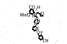 COc1cc(C(=O)O)cc2c1nc(CN1CCN(c3cccc(OCc4ccc(C#N)cc4F)n3)C=N1)n2CC1CCO1